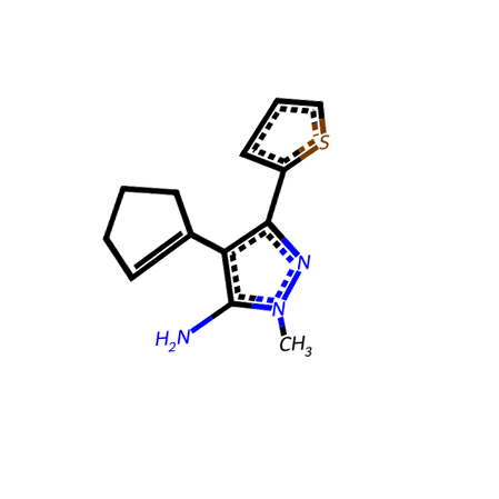 Cn1nc(-c2cccs2)c(C2=CCCC2)c1N